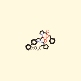 CCOC(=O)CC1(C(=O)NC(Cc2ccc(-c3ccccc3)cc2)C(=O)N2CCCC2C(=O)OCc2ccccc2)CCCC1